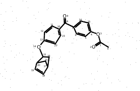 CC(=O)Oc1ccc(C(=O)c2ccc(OC3CC4C=CC3C4)cc2)cc1